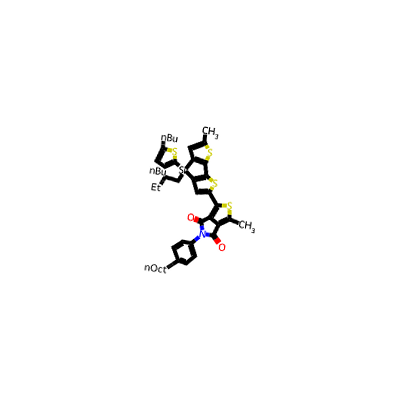 CCCCCCCCc1ccc(N2C(=O)c3c(C)sc(-c4cc5c(s4)-c4sc(C)cc4[Si]5(CC(CC)CCCC)c4ccc(CCCC)s4)c3C2=O)cc1